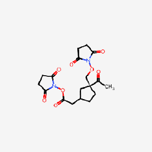 CC(=O)[C@]1(CON2C(=O)CCC2=O)CCC(CC(=O)ON2C(=O)CCC2=O)C1